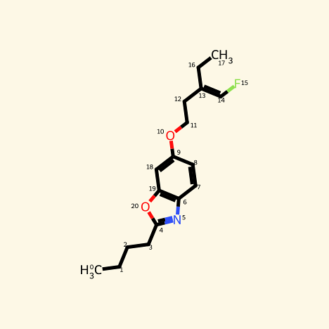 CCCCc1nc2ccc(OCCC(=CF)CC)cc2o1